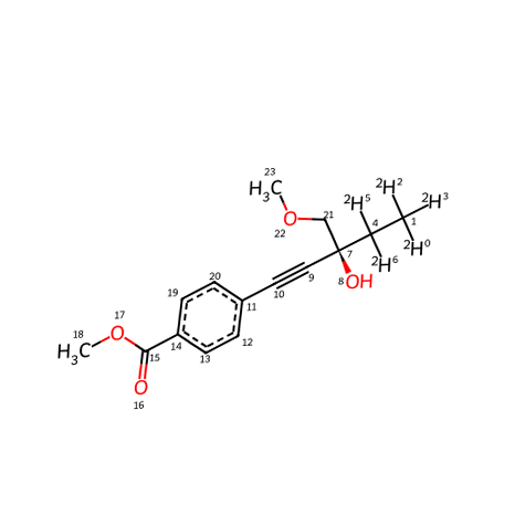 [2H]C([2H])([2H])C([2H])([2H])[C@](O)(C#Cc1ccc(C(=O)OC)cc1)COC